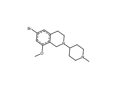 COc1cc(Br)cc2c1CN(C1CCN(C)CC1)CC2